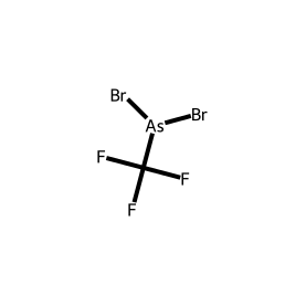 FC(F)(F)[As](Br)Br